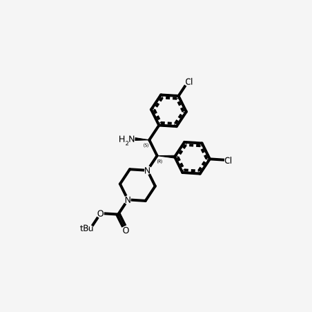 CC(C)(C)OC(=O)N1CCN([C@H](c2ccc(Cl)cc2)[C@@H](N)c2ccc(Cl)cc2)CC1